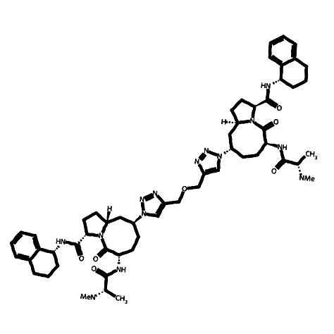 CN[C@@H](C)C(=O)N[C@H]1CC[C@H](n2cc(COCc3cn([C@H]4CC[C@H](NC(=O)[C@H](C)NC)C(=O)N5[C@H](CC[C@H]5C(=O)N[C@@H]5CCCc6ccccc65)C4)nn3)nn2)C[C@H]2CC[C@@H](C(=O)N[C@H]3CCCc4ccccc43)N2C1=O